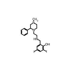 CN1CCN(CCNCc2cc(I)cc(I)c2O)C(c2ccccc2)C1